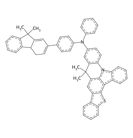 CC1(C)C2=CC(c3ccc(N(c4ccccc4)c4ccc5c(c4)C(C)(C)c4cc6c7ccccc7sc6c6c7ccccc7n-5c46)cc3)=CCC2c2ccccc21